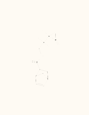 CC(C)(COC(=O)C1CC2C=CC1C2)C1(O)OC1=O